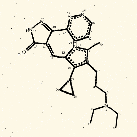 CCN(CC)CCCc1c(C)[nH]c(/C=C2/C(=O)NN=C2c2cccnn2)c1C1CC1